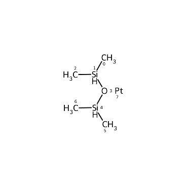 C[SiH](C)O[SiH](C)C.[Pt]